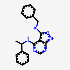 CC(Nc1ncnc2[nH]nc(NCc3ccccc3)c12)c1ccccc1